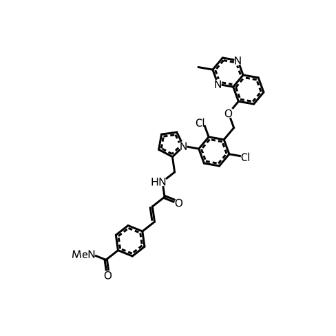 CNC(=O)c1ccc(C=CC(=O)NCc2cccn2-c2ccc(Cl)c(COc3cccc4ncc(C)nc34)c2Cl)cc1